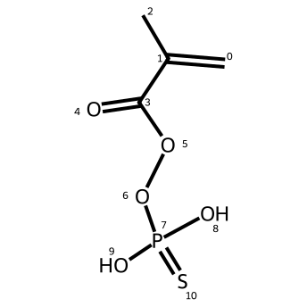 C=C(C)C(=O)OOP(O)(O)=S